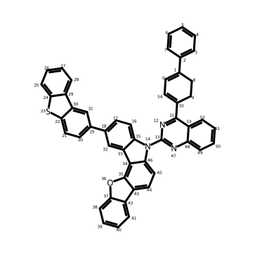 C1=C(c2ccccc2)CCC(c2nc(-n3c4ccc(-c5ccc6sc7ccccc7c6c5)cc4c4c5oc6ccccc6c5ccc43)nc3ccccc23)=C1